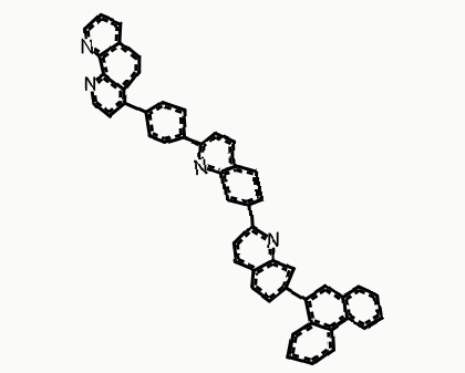 c1ccc2c(c1)cc(-c1ccc3ccc(-c4ccc5ccc(-c6ccc(-c7ccnc8c7ccc7cccnc78)cc6)nc5c4)nc3c1)c1ccccc12